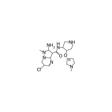 CN1CC[C@@H](OC2CCNCC2NC(=O)C2C(N)N(C)N3CC(Cl)C=NC23)C1